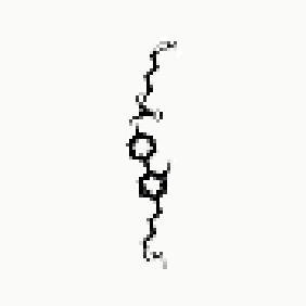 CCCCCOC(=O)Oc1ccc(-c2ccc(CCCCC)cc2F)cc1